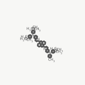 Cc1ccc(N(c2ccc([Si](C)(C)C)cc2)c2ccc3nc(-c4cc5c6c(c(-c7ccc8cc(N(c9ccc([Si](C)(C)C)cc9)c9ccc([Si](C)(C)C)cc9)ccc8n7)cc7c6c4CCC7)CCC5)ccc3c2)cc1